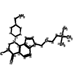 CN1CN([C@H]2CC[C@H](CN)CC2)c2c(cnc3c2ccn3COCC[Si](C)(C)C)C1=O